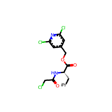 CC(C)C[C@H](NC(=O)CCl)C(=O)OCc1cc(Cl)nc(Cl)c1